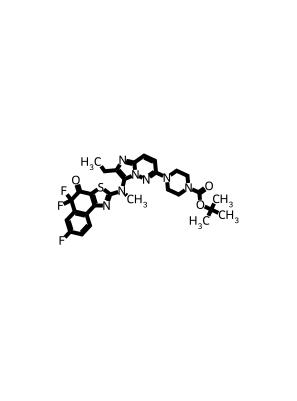 CCc1nc2ccc(N3CCN(C(=O)OC(C)(C)C)CC3)nn2c1N(C)c1nc2c(s1)C(=O)C(F)(F)c1cc(F)ccc1-2